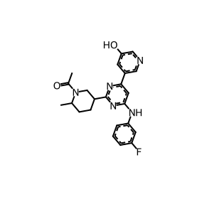 CC(=O)N1CC(c2nc(Nc3cccc(F)c3)cc(-c3cncc(O)c3)n2)CCC1C